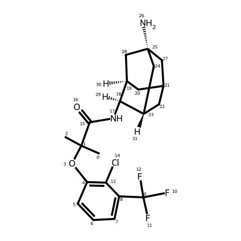 CC(C)(Oc1cccc(C(F)(F)F)c1Cl)C(=O)N[C@H]1[C@@H]2CC3C[C@H]1C[C@](N)(C3)C2